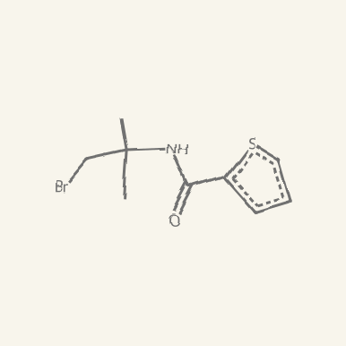 CC(C)(CBr)NC(=O)c1cccs1